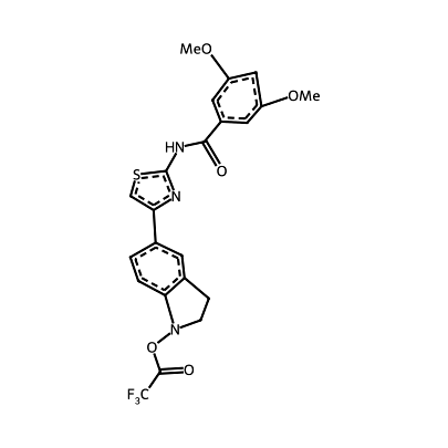 COc1cc(OC)cc(C(=O)Nc2nc(-c3ccc4c(c3)CCN4OC(=O)C(F)(F)F)cs2)c1